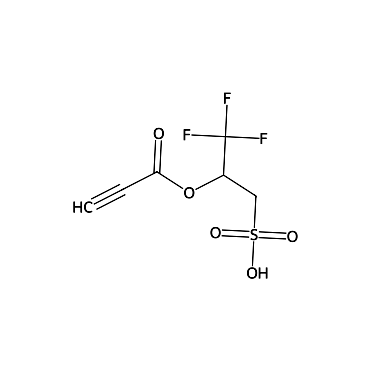 C#CC(=O)OC(CS(=O)(=O)O)C(F)(F)F